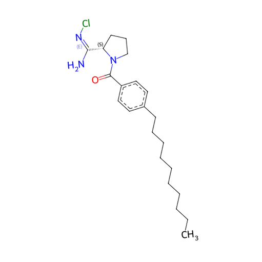 CCCCCCCCCCc1ccc(C(=O)N2CCC[C@H]2/C(N)=N\Cl)cc1